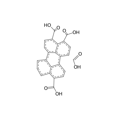 O=C(O)c1ccc2c3ccc(C(=O)O)c4c(C(=O)O)ccc(c5cccc1c52)c43.O=CO